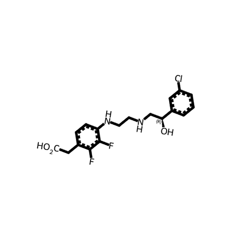 O=C(O)Cc1ccc(NCCNC[C@H](O)c2cccc(Cl)c2)c(F)c1F